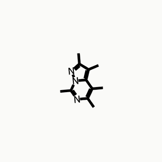 Cc1nc(C)n2nc(C)c(C)c2c1C